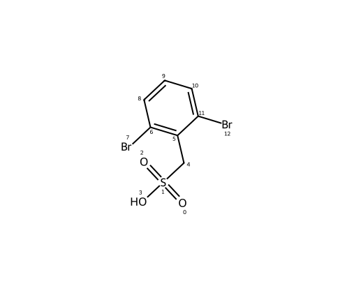 O=S(=O)(O)Cc1c(Br)cccc1Br